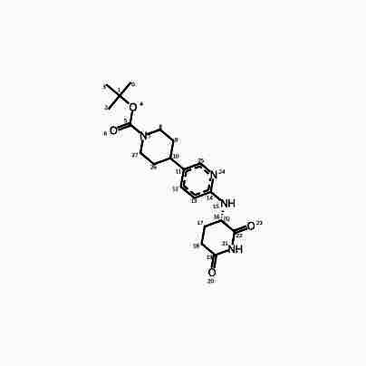 CC(C)(C)OC(=O)N1CCC(c2ccc(N[C@H]3CCC(=O)NC3=O)nc2)CC1